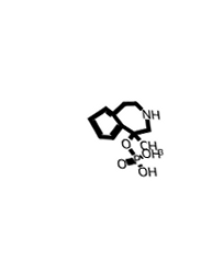 CC1(OP(=O)(O)O)CNCCc2ccccc21